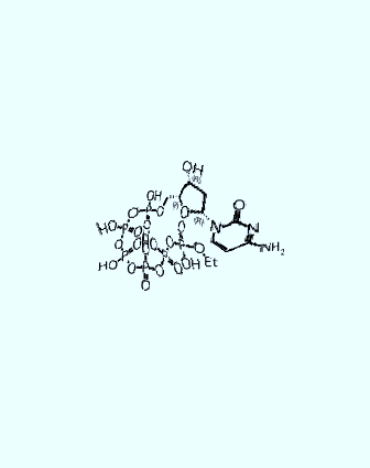 CCOP(=O)(O)OP(=O)(O)OP(=O)(O)OP(=O)(O)OP(=O)(O)OP(=O)(O)OC[C@H]1O[C@@H](n2ccc(N)nc2=O)C[C@H]1O